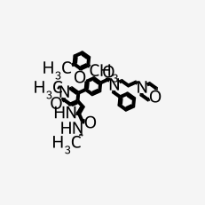 CCNC(=O)c1cc2c(-c3ccc(C(=O)N(CCCN4CCOCC4)Cc4ccccc4)cc3Oc3c(C)cccc3C)cn(C)c(=O)c2[nH]1